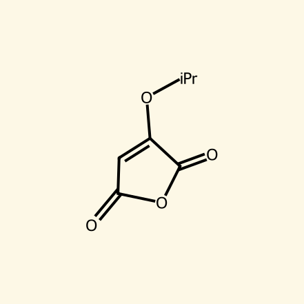 CC(C)OC1=CC(=O)OC1=O